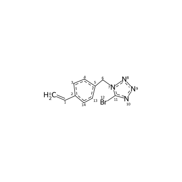 C=Cc1ccc(Cn2nnnc2Br)cc1